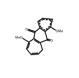 COC1=CC=CCC2=C1C(=O)c1cccc(OC)c1C2=O